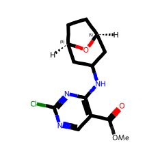 COC(=O)c1cnc(Cl)nc1NC1C[C@H]2CC[C@@H](C1)O2